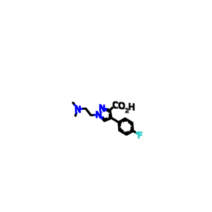 CN(C)CCn1cc(-c2ccc(F)cc2)c(C(=O)O)n1